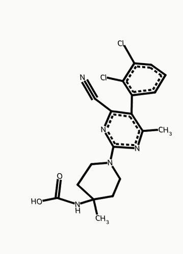 Cc1nc(N2CCC(C)(NC(=O)O)CC2)nc(C#N)c1-c1cccc(Cl)c1Cl